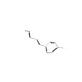 CCOC(=O)/C=C/C=C/c1ccc(C#N)cc1